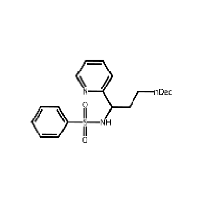 CCCCCCCCCCCCC(NS(=O)(=O)c1ccccc1)c1ccccn1